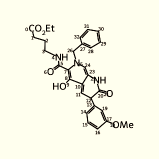 CCOC(=O)CCCNC(=O)C1=C(O)C2=CC(c3cccc(OC)c3)C(=O)NC2=CN1Cc1ccccc1